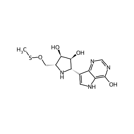 CSOC[C@H]1N[C@@H](c2c[nH]c3c(O)ncnc23)[C@H](O)[C@@H]1O